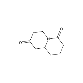 O=C1CCN2C(=O)CCCC2C1